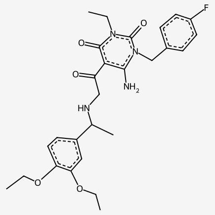 CCOc1ccc(C(C)NCC(=O)c2c(N)n(Cc3ccc(F)cc3)c(=O)n(CC)c2=O)cc1OCC